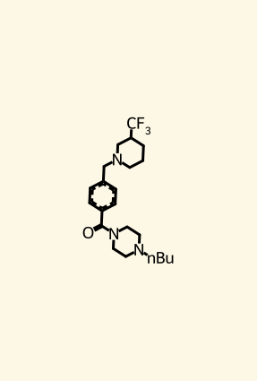 CCCCN1CCN(C(=O)c2ccc(CN3CCCC(C(F)(F)F)C3)cc2)CC1